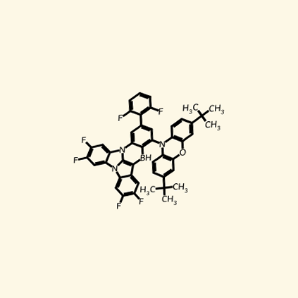 CC(C)(C)c1ccc2c(c1)Oc1cc(C(C)(C)C)ccc1N2c1cc(-c2c(F)cccc2F)cc2c1Bc1c3cc(F)c(F)cc3n3c4cc(F)c(F)cc4n-2c13